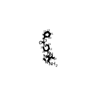 Nc1ncnc2c1c(I)nn2C1CCN(C(=O)OCc2ccccc2)CC1